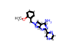 COc1ccccc1Cn1cc2c(N)nc(-c3cnccn3)nc2n1